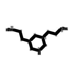 CCCCCCCCCCCCN1CNCN(CCCCCCCCCCCC)C1